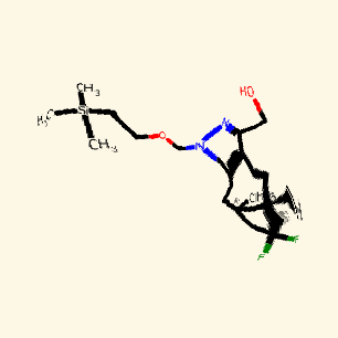 C[C@@]12Cc3c(c(CO)nn3COCC[Si](C)(C)C)C[C@@H]1C2(F)F